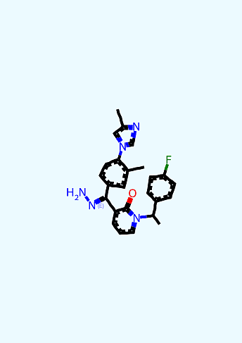 Cc1cn(-c2ccc(/C(=N\N)c3cccn(C(C)c4ccc(F)cc4)c3=O)cc2C)cn1